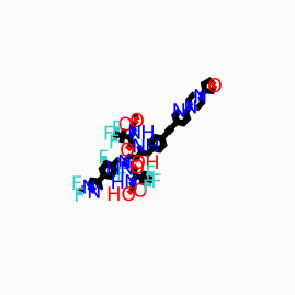 COC(=O)NC(C(=O)NC(Cc1ccc(C#Cc2ccc(N3CCN(C4CCOC4)CC3)nc2)cc1)C(O)CN(Cc1c(F)cc(-c2cnn(C(F)F)c2)cc1F)NC(=O)C(NC(=O)O)C(C)(C)C(F)(F)F)C(C)(C)C(F)(F)F